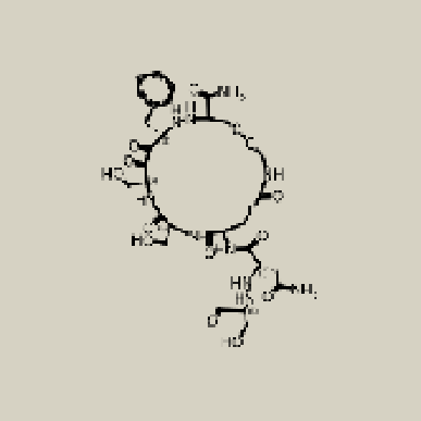 NC(=O)C[C@H](NN[C@H](C=O)CO)C(=O)NC1CCC(=O)NCCCCC(C(N)=O)NN[C@@H](Cc2ccccc2)C(=O)C(=O)[C@H](CO)NC(=O)[C@H](CO)NC1=O